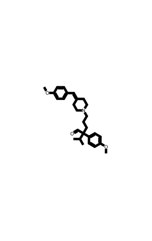 COc1ccc(C=C2CCN(CCCC(C=O)(c3ccc(OC)cc3)C(C)C)CC2)cc1